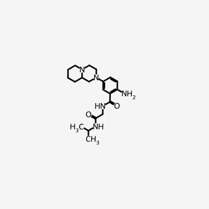 CC(C)NC(=O)CNC(=O)c1cc(N2CCN3CCCCC3C2)ccc1N